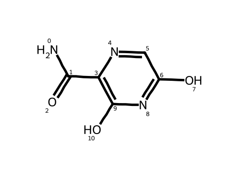 NC(=O)c1ncc(O)nc1O